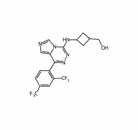 OCC1CC(Nc2nnc(-c3ccc(C(F)(F)F)cc3C(F)(F)F)c3cncn23)C1